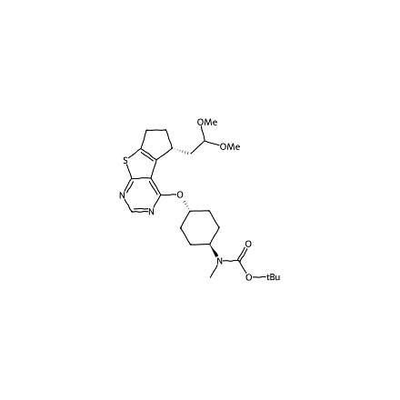 COC(C[C@H]1CCc2sc3ncnc(O[C@H]4CC[C@H](N(C)C(=O)OC(C)(C)C)CC4)c3c21)OC